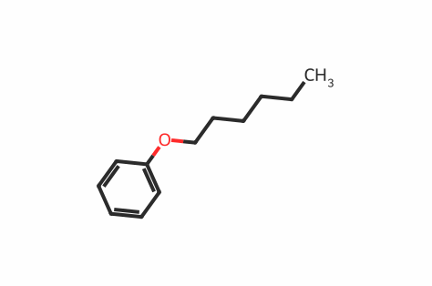 CCCCCCOc1ccccc1